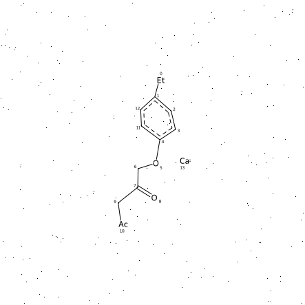 CCc1ccc(OCC(=O)CC(C)=O)cc1.[Ca]